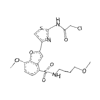 COCCCNS(=O)(=O)c1ccc(OC)c2oc(-c3csc(NC(=O)CCl)n3)cc12